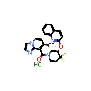 Cl.O=C(c1c(C(F)(F)F)ccn2ccnc12)N1CCC(F)(F)[C@@H](Oc2ccc3ccccc3n2)C1